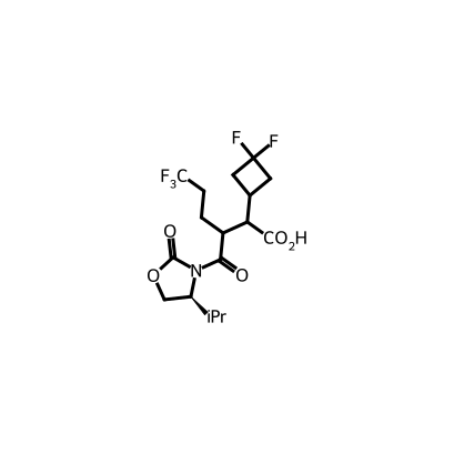 CC(C)[C@H]1COC(=O)N1C(=O)C(CCC(F)(F)F)C(C(=O)O)C1CC(F)(F)C1